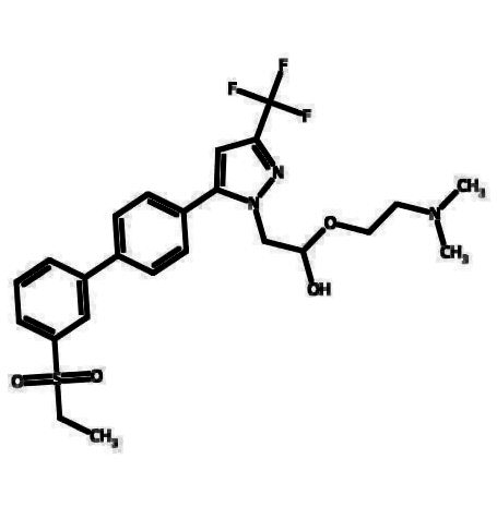 CCS(=O)(=O)c1cccc(-c2ccc(-c3cc(C(F)(F)F)nn3CC(O)OCCN(C)C)cc2)c1